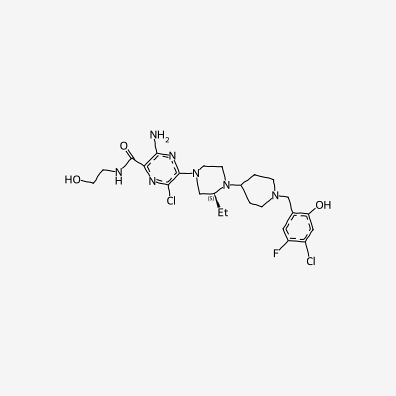 CC[C@H]1CN(c2nc(N)c(C(=O)NCCO)nc2Cl)CCN1C1CCN(Cc2cc(F)c(Cl)cc2O)CC1